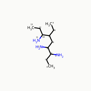 CCC(N)C(N)CC(CC)C(N)CC